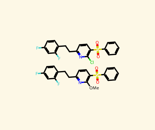 COc1nc(CCc2ccc(F)cc2F)ccc1S(=O)(=O)c1ccccc1.O=S(=O)(c1ccccc1)c1ccc(CCc2ccc(F)cc2F)nc1Cl